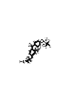 CC(C)(Cc1ccc2c(c1)[Si](C)(C)c1cc(O[Si](C)(C)C(C)(C)C)ccc1C2=O)[Si](C)(C)O